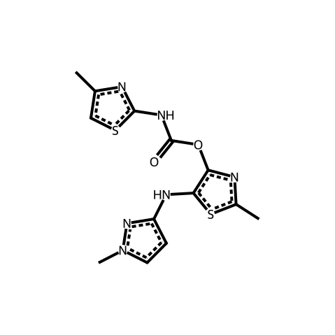 Cc1csc(NC(=O)Oc2nc(C)sc2Nc2ccn(C)n2)n1